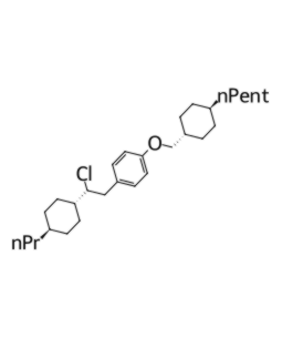 CCCCC[C@H]1CC[C@H](COc2ccc(CC(Cl)[C@H]3CC[C@H](CCC)CC3)cc2)CC1